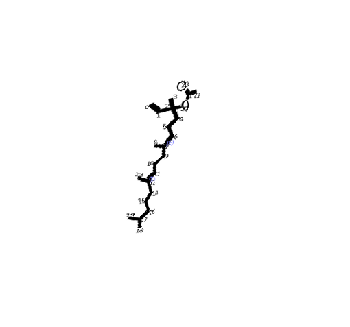 C=CC(C)(CC/C=C(\C)CC/C=C(\C)CCC=C(C)C)OC(C)=O